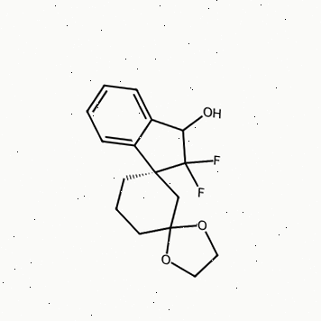 OC1c2ccccc2[C@@]2(CCCC3(C2)OCCO3)C1(F)F